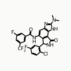 CN(C)c1nc2cc(NC(=O)c3cc(F)cc(C(F)(F)F)c3)c3c(c2[nH]1)C(=O)NC3c1cc(F)ccc1Cl